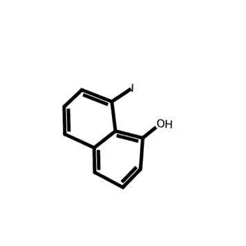 Oc1cccc2cccc(I)c12